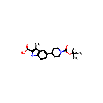 Cc1c(C(=O)O)[nH]c2ccc(C3CCN(C(=O)OC(C)(C)C)CC3)cc12